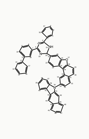 c1ccc(C2=NC(c3cccc(-c4ccccc4)c3)=NC(c3ccc4c(c3)oc3ccc5ccc(-n6c7ccccc7c7cc8ccccc8cc76)cc5c34)N2)cc1